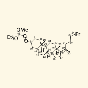 CCOC(OC)OOC1CC[C@@]2(C)C(=CC[C@H]3[C@@H]4CC[C@H]([C@H](C)CCCC(C)C)[C@@]4(C)CC[C@@H]32)C1